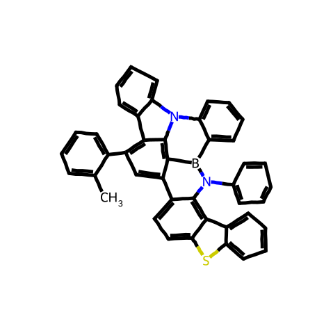 Cc1ccccc1-c1cc2c3c4c1c1ccccc1n4-c1ccccc1B3N(c1ccccc1)c1c-2ccc2sc3ccccc3c12